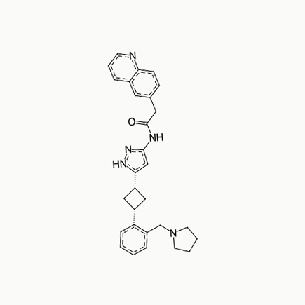 O=C(Cc1ccc2ncccc2c1)Nc1cc([C@H]2C[C@@H](c3ccccc3CN3CCCC3)C2)[nH]n1